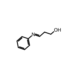 OCCC=Nc1ccccc1